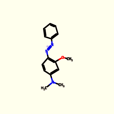 COc1cc(N(C)C)ccc1/N=N/c1ccccc1